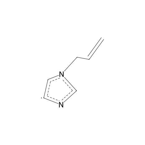 C=CCn1c[c]nc1